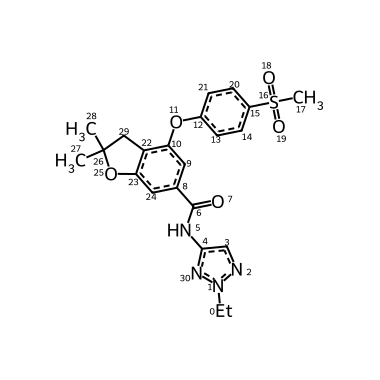 CCn1ncc(NC(=O)c2cc(Oc3ccc(S(C)(=O)=O)cc3)c3c(c2)OC(C)(C)C3)n1